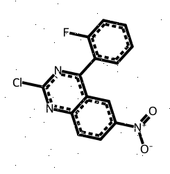 O=[N+]([O-])c1ccc2nc(Cl)nc(-c3ccccc3F)c2c1